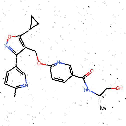 CCC[C@@H](CO)NC(=O)c1ccc(OCc2c(-c3ccc(C)nc3)noc2C2CC2)nc1